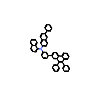 c1ccc(-c2ccc3cc(N(c4cccc(-c5ccc6c(c5)c(-c5ccccc5)c(-c5ccccc5)c5ccccc56)c4)c4cccc5ccccc45)ccc3c2)cc1